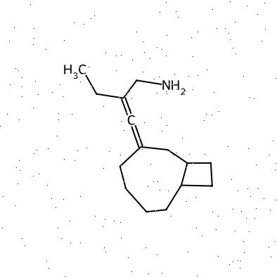 CCC(=C=C1CCCCC2CCC2C1)CN